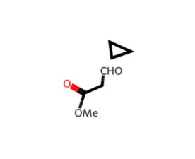 C1CC1.COC(=O)CC=O